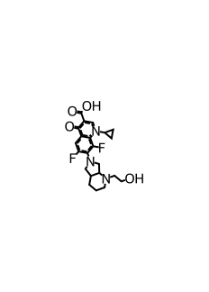 O=C(O)c1cn(C2CC2)c2c(F)c(N3CC4CCCN(CCO)C4C3)c(F)cc2c1=O